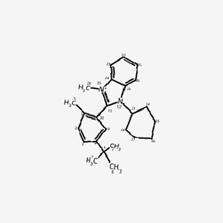 Cc1ccc(C(C)(C)C)cc1-c1n(C2CCCCC2)c2ccccc2[n+]1C